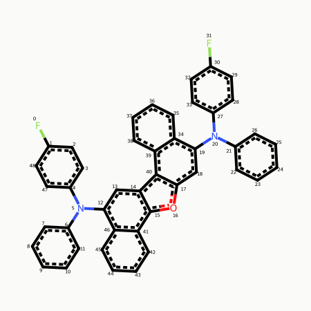 Fc1ccc(N(c2ccccc2)c2cc3c(oc4cc(N(c5ccccc5)c5ccc(F)cc5)c5ccccc5c43)c3ccccc23)cc1